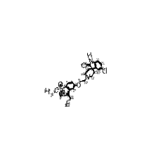 CS(=O)(=O)c1ccc(OCCN2CCC3(CC2)C(=O)Nc2ccc(Cl)cc23)cc1[C@H](F)CF